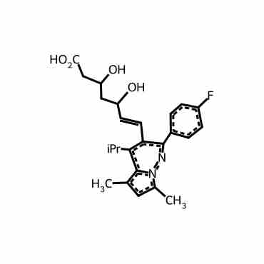 Cc1cc(C)n2nc(-c3ccc(F)cc3)c(/C=C/C(O)CC(O)CC(=O)O)c(C(C)C)c12